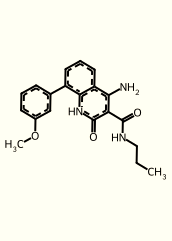 CCCNC(=O)c1c(N)c2cccc(-c3cccc(OC)c3)c2[nH]c1=O